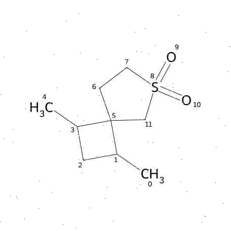 CC1CC(C)C12CCS(=O)(=O)C2